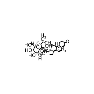 CC(C)C(C)C(C(O)[C@@H](C)[C@H]1CCC2=C3C=CC4=CC(=O)CC[C@]4(C)[C@H]3CC[C@@]21C)C1(O)O[C@H](CO)[C@@H](O)[C@H](O)[C@H]1O